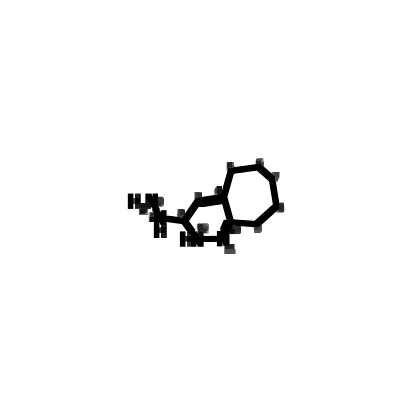 NNC1C=C2CCCCCC2=NN1